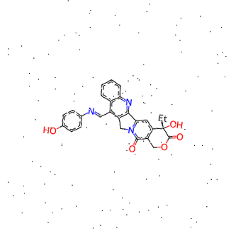 CC[C@@]1(O)C(=O)OCc2c1cc1n(c2=O)Cc2c-1nc1ccccc1c2C=Nc1ccc(O)cc1